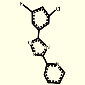 Fc1cc(Cl)cc(-c2nc(-c3ccccn3)no2)c1